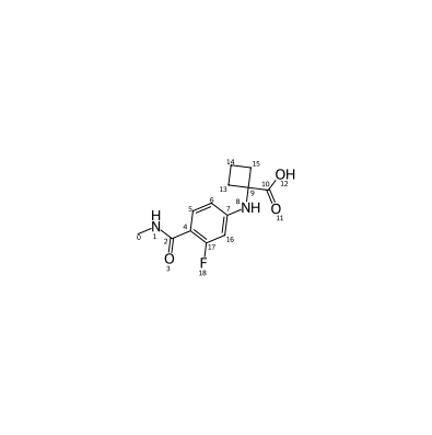 CNC(=O)c1ccc(NC2(C(=O)O)CCC2)cc1F